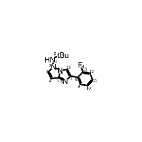 CC(C)(C)Nn1ccc2nc(-c3ccccc3F)cn21